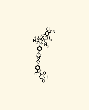 CC1(C)[C@H](NC(=O)c2ccc(N3CCN(C4CN(c5ccc6c(c5)CN(C5CCC(=O)NC5=O)C6=O)C4)CC3)cc2)C(C)(C)[C@H]1Oc1ccc(C#N)c(Cl)c1